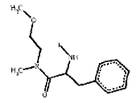 COCCN(C)C(=O)C(Cc1ccccc1)NI